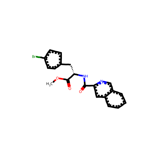 COC(=O)[C@H](Cc1ccc(Br)cc1)NC(=O)c1cc2ccccc2cn1